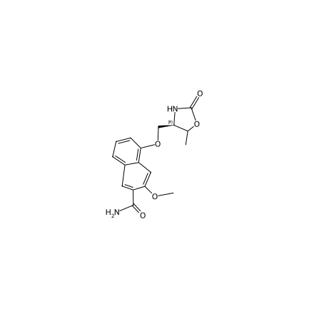 COc1cc2c(OC[C@H]3NC(=O)OC3C)cccc2cc1C(N)=O